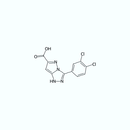 O=C(O)c1cc2[nH]nc(-c3ccc(Cl)c(Cl)c3)n2n1